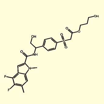 Cc1cc2c(cc(C(=O)NC(CO)c3ccc(S(=O)(=O)CC(=O)OCCCO)cc3)n2C)c(F)c1F